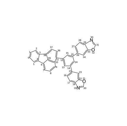 c1ccc2c(c1)-c1cccc3c(-c4cc(-c5ccc6ncoc6c5)cc(-c5ccc6ncoc6c5)c4)ccc-2c13